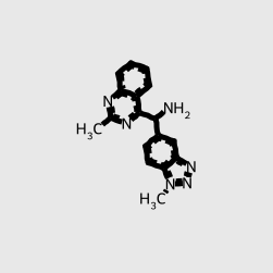 Cc1nc(C(N)c2ccc3c(c2)nnn3C)c2ccccc2n1